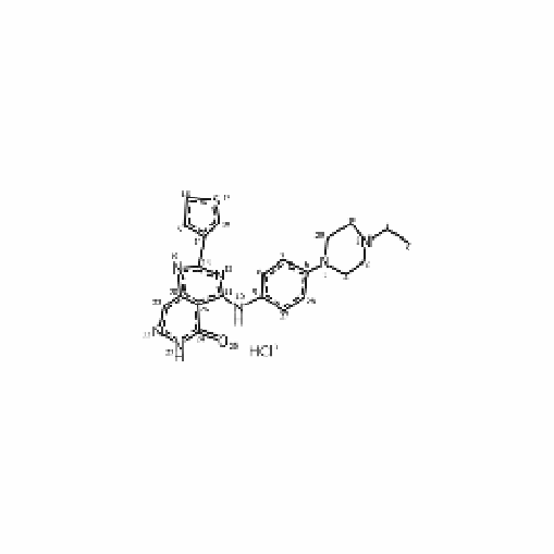 CCN1CCN(c2ccc(Nc3nc(-c4ccsc4)nc4cn[nH]c(=O)c34)cc2)CC1.Cl